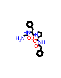 NCC(=O)N[C@@H](Cc1ccccc1)C(=O)N1CCC[C@H]1C(=O)NC(=O)Cc1ccccc1